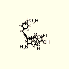 CCC1OC(C(N)=O)(n2cnc3c(N)nc(C#CCC4CCN(C(=O)O)CC4)nc32)C(O)C1O